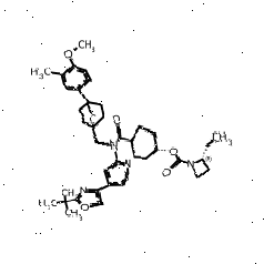 CC[C@@H]1CCN1C(=O)O[C@H]1CC[C@H](C(=O)N(CC23CCC(c4ccc(OC)c(C)c4)(CC2)CC3)c2cc(-c3coc(C(C)(C)C)n3)ccn2)CC1